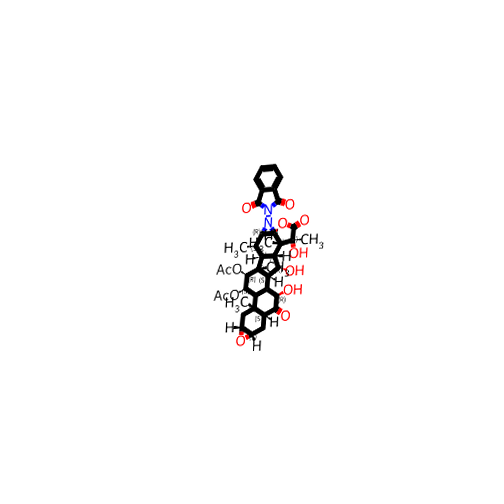 CC(=O)O[C@H]1C2C([C@@H]3[C@@H](O)[C@@H]4[C@H]([C@H](C)[C@H]5N(N6C(=O)c7ccccc7C6=O)[C@]56OC(=O)[C@@](C)(O)[C@]46C)[C@@]3(C)[C@H]1OC(C)=O)[C@@H](O)C(=O)[C@H]1C[C@@H]3O[C@@H]3C[C@]21C